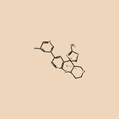 NC1=N[C@@]2(CS1)c1cc(-c3cncc(F)c3)ccc1OC1CCOC[C@@H]12